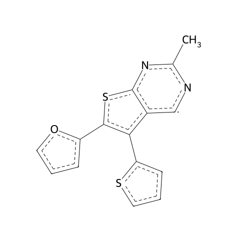 Cc1n[c]c2c(-c3cccs3)c(-c3ccco3)sc2n1